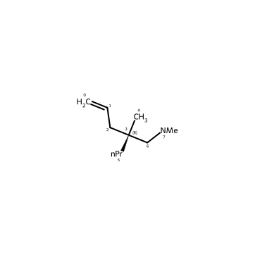 C=CC[C@@](C)(CCC)CNC